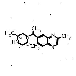 Cc1cnc2ccc(C(C)N3C[C@H](C)NC[C@H]3C)cc2n1